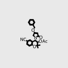 CC(=O)O[C@@H]1[C@@H](N2CC(OCc3ccccc3)=CC2=O)c2cc(C#N)ccc2OC1(C)C